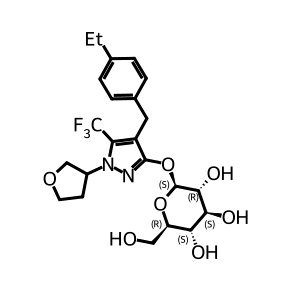 CCc1ccc(Cc2c(O[C@@H]3O[C@H](CO)[C@@H](O)[C@H](O)[C@H]3O)nn(C3CCOC3)c2C(F)(F)F)cc1